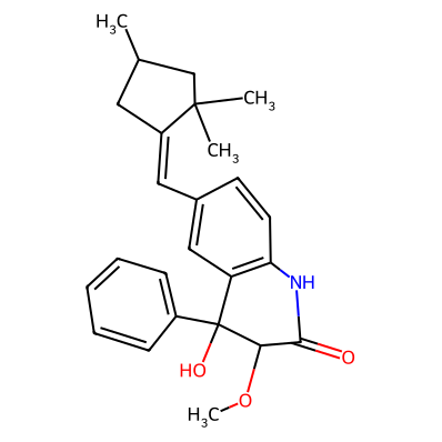 COC1C(=O)Nc2ccc(C=C3CC(C)CC3(C)C)cc2C1(O)c1ccccc1